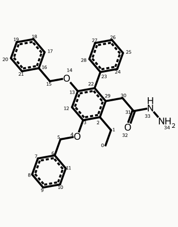 CCc1c(OCc2ccccc2)cc(OCc2ccccc2)c(-c2ccccc2)c1CC(=O)NN